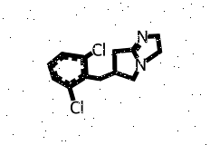 Clc1cccc(Cl)c1CC1CC2=NCCN2C1